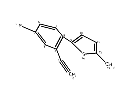 C#Cc1cc(F)ccc1-c1ccc(C)s1